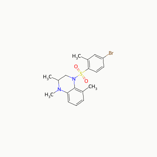 Cc1cc(Br)ccc1S(=O)(=O)N1CC(C)N(C)c2cccc(C)c21